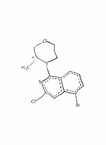 C[C@@H]1COCCN1c1nc(Cl)cc2c(Br)cccc12